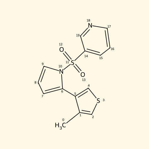 Cc1cscc1-c1c[c]cn1S(=O)(=O)c1cccnc1